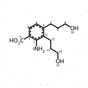 Nc1c(C(=O)O)ccc(CCCO)c1CCCO